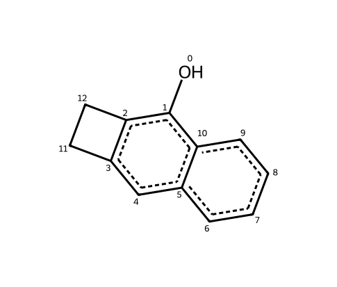 Oc1c2c(cc3ccccc13)CC2